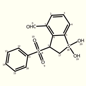 O=Cc1cccc2c1C(S(=O)(=O)c1ccccc1)CS2(O)O